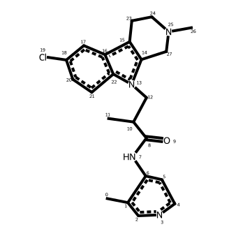 Cc1cnccc1NC(=O)C(C)Cn1c2c(c3cc(Cl)ccc31)CCN(C)C2